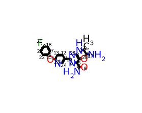 CC(Nc1cc(C(N)=O)nc(-c2ccc(Oc3ccc(F)cc3)nc2)n1)C(N)=O